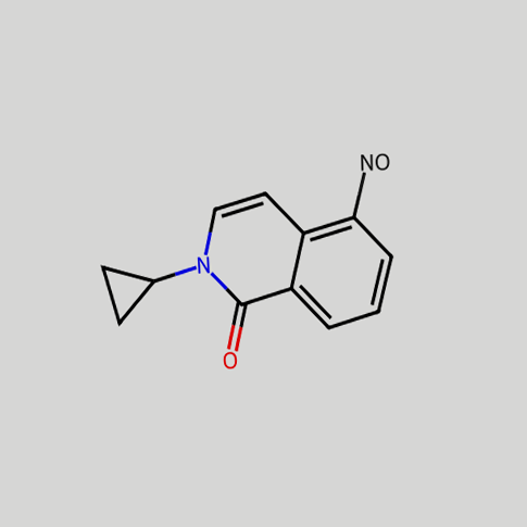 O=Nc1cccc2c(=O)n(C3CC3)ccc12